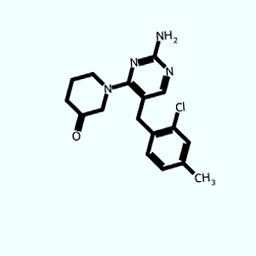 Cc1ccc(Cc2cnc(N)nc2N2CCCC(=O)C2)c(Cl)c1